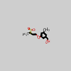 Cc1[c]c(CO)cc(OCCC(C)[SH](=O)=O)c1